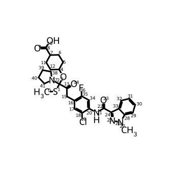 CSC(OC1CCC(C(=O)O)CC1)(C(=O)Cc1cc(Cl)c(NC(=O)c2nn(C)c3ccccc23)cc1F)N1CCCC1